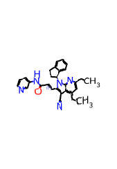 CCc1cc(CC)c2c(C#N)c(/C=C/C(=O)Nc3cccnc3)n(C3CCc4ccccc43)c2n1